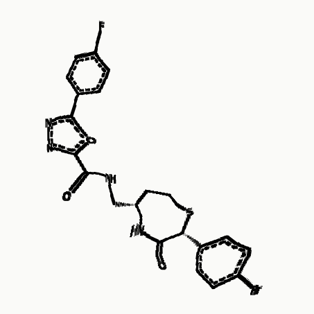 O=C(NC[C@@H]1CCS[C@H](c2ccc(Br)cc2)C(=O)N1)c1nnc(-c2ccc(F)cc2)o1